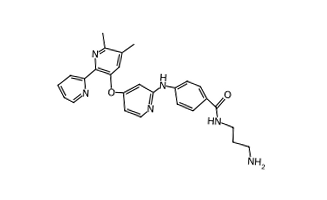 Cc1cc(Oc2ccnc(Nc3ccc(C(=O)NCCCN)cc3)c2)c(-c2ccccn2)nc1C